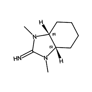 CN1C(=N)N(C)[C@H]2CCCC[C@H]21